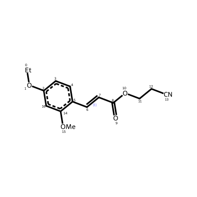 CCOc1ccc(/C=C/C(=O)OCCC#N)c(OC)c1